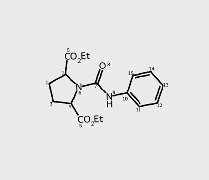 CCOC(=O)C1CCC(C(=O)OCC)N1C(=O)Nc1ccccc1